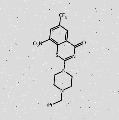 CC(C)CN1CCN(c2nc(=O)c3cc(C(F)(F)F)cc([N+](=O)[O-])c3s2)CC1